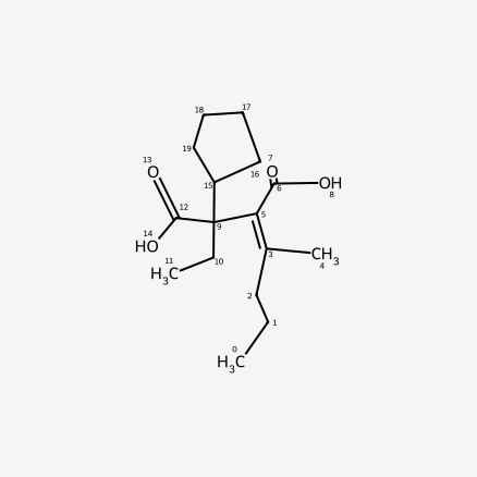 CCCC(C)=C(C(=O)O)C(CC)(C(=O)O)C1CCCC1